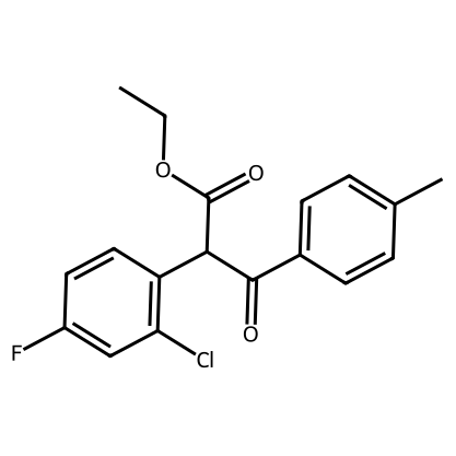 CCOC(=O)C(C(=O)c1ccc(C)cc1)c1ccc(F)cc1Cl